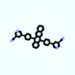 N#Cc1cncc(-c2ccc(-c3c4ccccc4c(-c4ccc(-c5cncc(C#N)c5)cc4)c4cc5ccccc5cc34)cc2)c1